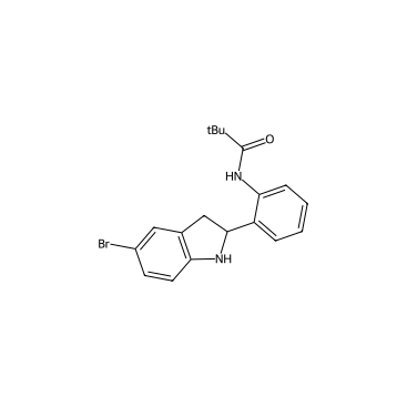 CC(C)(C)C(=O)Nc1ccccc1C1Cc2cc(Br)ccc2N1